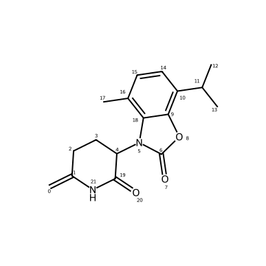 C=C1CCC(n2c(=O)oc3c(C(C)C)ccc(C)c32)C(=O)N1